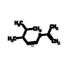 C=C(C)S/C=C\C(C)C(C)C